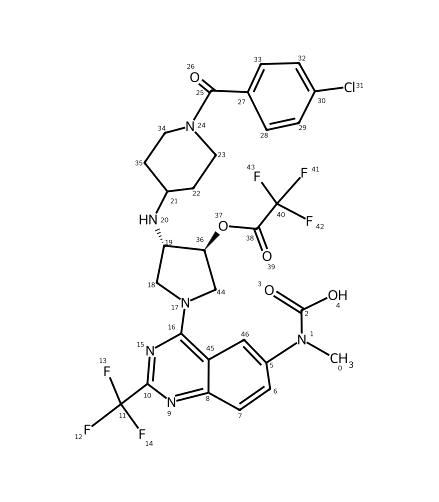 CN(C(=O)O)c1ccc2nc(C(F)(F)F)nc(N3C[C@H](NC4CCN(C(=O)c5ccc(Cl)cc5)CC4)[C@@H](OC(=O)C(F)(F)F)C3)c2c1